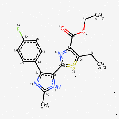 CCOC(=O)c1nc(-c2[nH]c(C)nc2-c2ccc(F)cc2)sc1CC